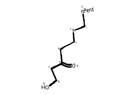 CCCCCCSCCC(=O)CCO